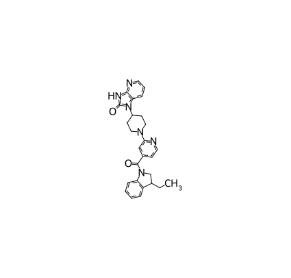 CCC1CN(C(=O)c2ccnc(N3CCC(n4c(=O)[nH]c5ncccc54)CC3)c2)c2ccccc21